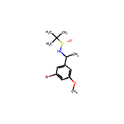 COc1cc(Br)cc(C(C)N[S@@+]([O-])C(C)(C)C)c1